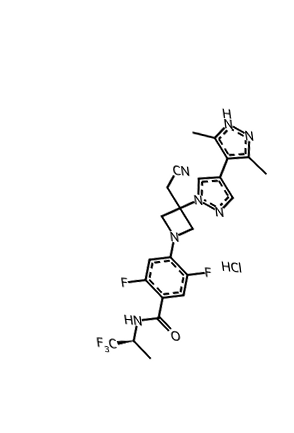 Cc1n[nH]c(C)c1-c1cnn(C2(CC#N)CN(c3cc(F)c(C(=O)N[C@@H](C)C(F)(F)F)cc3F)C2)c1.Cl